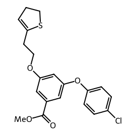 COC(=O)c1cc(OCCC2=CCCS2)cc(Oc2ccc(Cl)cc2)c1